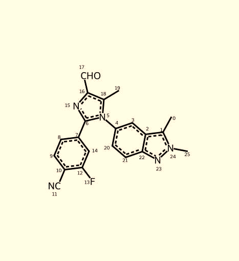 Cc1c2cc(-n3c(-c4ccc(C#N)c(F)c4)nc(C=O)c3C)ccc2nn1C